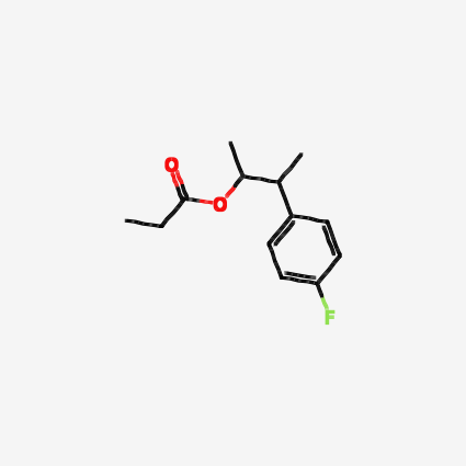 CCC(=O)OC(C)C(C)c1ccc(F)cc1